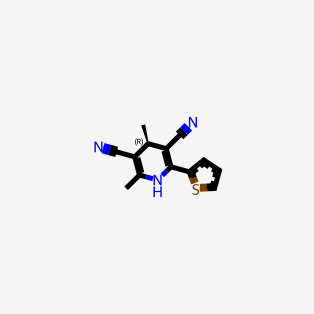 CC1=C(C#N)[C@@H](C)C(C#N)=C(c2cccs2)N1